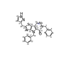 CN(Cc1ccccc1)/N=C\c1c(C=O)n(Cc2ccccc2)c2nc(Cc3cc[nH]n3)sc12